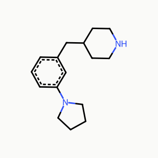 c1cc(CC2CCNCC2)cc(N2CCCC2)c1